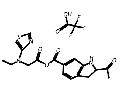 CCN(CC(=O)OC(=O)c1ccc2c(c1)NC(C(C)=O)C2)c1cscn1.O=C(O)C(F)(F)F